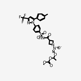 COC(=O)OC(C)ON=[N+]([O-])N1CC(C(=O)NS(=O)(=O)c2ccc(-n3nc(C(F)(F)F)cc3-c3ccc(C)cc3)cc2)C1